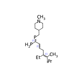 CC/C(C/C=C/C(P)=P\CC1CCN(C)CC1)=C(/C)C(C)C